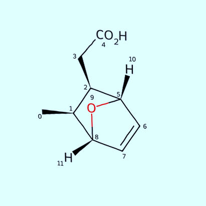 C[C@H]1[C@@H](CC(=O)O)[C@@H]2C=C[C@H]1O2